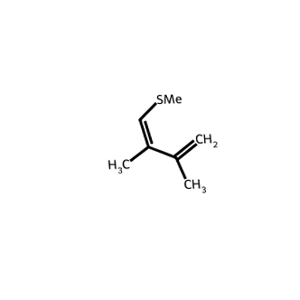 C=C(C)/C(C)=C\SC